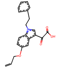 C=CCOc1ccc2c(c1)c(C(=O)C(=O)O)cn2CCc1ccccc1